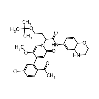 COc1cn(C(CCOC(C)(C)C)C(=O)NC2=CC3NCCOC3C=C2)c(=O)cc1-c1cc(Cl)ccc1C(C)=O